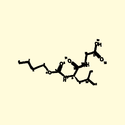 CCCCOC(=O)N[C@@H](CC(C)C)C(=O)NCC(=O)O